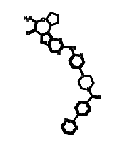 CN(C)C(=O)c1cc2cnc(Nc3ccc(N4CCN(C(=O)c5ccc(-c6ncccn6)cc5)CC4)cn3)nc2n1C1CCCC1